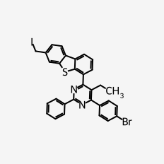 CCc1c(-c2ccc(Br)cc2)nc(-c2ccccc2)nc1-c1cccc2c1sc1cc(CI)ccc12